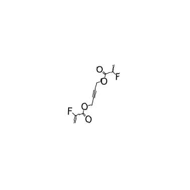 C=C(F)C(=O)OCC#CCOC(=O)C(=C)F